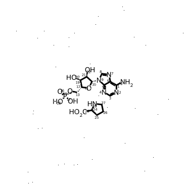 Nc1ncnc2c1ncn2[C@@H]1O[C@H](COP(=O)(O)O)[C@@H](O)[C@H]1O.O=C(O)C1CCCN1